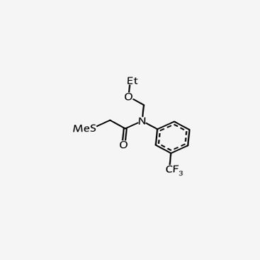 CCOCN(C(=O)CSC)c1cccc(C(F)(F)F)c1